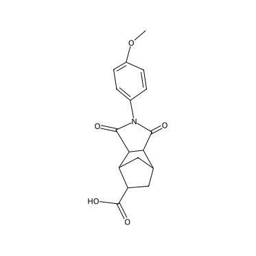 COc1ccc(N2C(=O)C3C4CC(C(=O)O)C(C4)C3C2=O)cc1